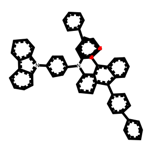 c1ccc(-c2ccc(-c3c4ccccc4c(-c4ccc(-c5ccccc5)cc4)c4c(N(c5ccccc5)c5ccc(-n6c7ccccc7c7ccccc76)cc5)cccc34)cc2)cc1